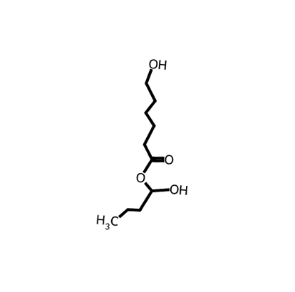 CCCC(O)OC(=O)CCCCCO